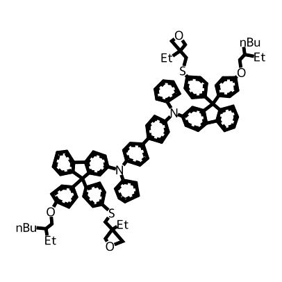 CCCCC(CC)COc1ccc(C2(c3ccc(SCC4(CC)COC4)cc3)c3ccccc3-c3ccc(N(c4ccccc4)c4ccc(-c5ccc(N(c6ccccc6)c6ccc7c(c6)C(c6ccc(OCC(CC)CCCC)cc6)(c6ccc(SCC8(CC)COC8)cc6)c6ccccc6-7)cc5)cc4)cc32)cc1